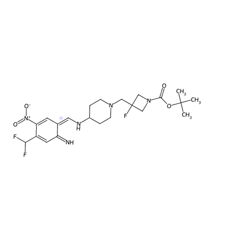 CC(C)(C)OC(=O)N1CC(F)(CN2CCC(N/C=C3/C=C([N+](=O)[O-])C(C(F)F)=CC3=N)CC2)C1